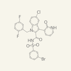 O=C(NS(=O)(=O)c1cccc(Br)c1)c1c(-c2ccc[nH]c2=O)c2cc(Cl)ccc2n1Cc1cc(F)ccc1F